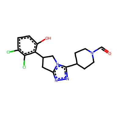 O=CN1CCC(c2nnc3n2CC(c2c(O)ccc(Cl)c2Cl)C3)CC1